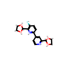 Fc1ccc(-c2ccnc(C3OCCO3)c2)nc1C1OCCO1